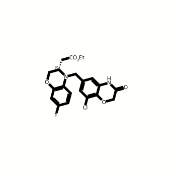 CCOC(=O)C[C@H]1COc2cc(F)ccc2N1Cc1cc(Cl)c2c(c1)NC(=O)CO2